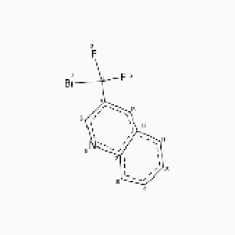 FC(F)(Br)c1cnc2ccccc2c1